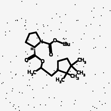 CC(CC1CCC(C)(C)C1(C)C)OC(=O)[C@@H]1CCCN1C(=O)OC(C)(C)C